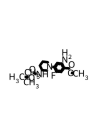 COC(=O)c1cc(F)c(N2CCC[C@H](NC(=O)OC(C)(C)C)C2)cc1N